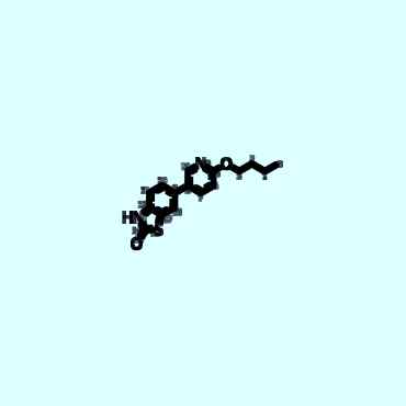 CCCCOc1ccc(-c2ccc3[nH]c(=O)sc3c2)cn1